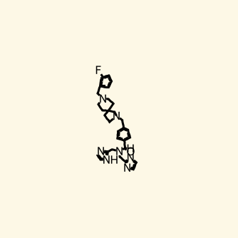 O=C(c1ccc(CN2CCC3(CCN(Cc4cccc(F)c4)CC3)C2)cc1)N(Cc1ncc[nH]1)Cc1ncc[nH]1